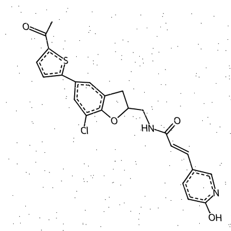 CC(=O)c1ccc(-c2cc(Cl)c3c(c2)CC(CNC(=O)/C=C/c2ccc(O)nc2)O3)s1